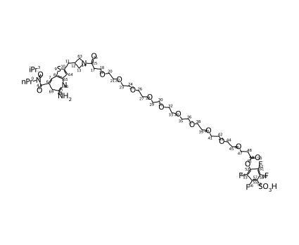 CCCN(OC(C)C)C(=O)C1=Cc2sc(CC3CN(C(=O)CCOCCOCCOCCOCCOCCOCCOCCOCCOCCOCCC(=O)Oc4c(F)c(F)c(S(=O)(=O)O)c(F)c4F)C3)cc2N=C(N)C1